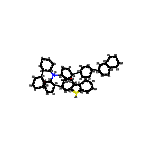 c1ccc(-c2ccccc2N(c2ccc(-c3ccc(-c4ccc5ccccc5c4)cc3)cc2)c2ccccc2-c2ccc3c(c2)sc2ccccc23)cc1